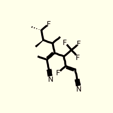 C/C(C#N)=C(\C(C)[C@@H](C)[C@H](C)F)C(C(F)=CC#N)C(F)(F)F